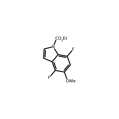 CCOC(=O)n1ccc2c(F)c(OC)cc(F)c21